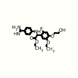 CCOC(=O)[C@@H](Nc1ccc(C(=N)N)cc1)c1cc(OCC)c(OCCO)cc1F